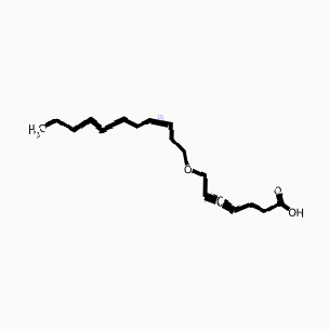 CCCCCCC/C=C\CCOCC=C=CCCC(=O)O